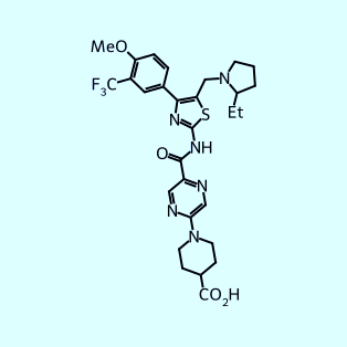 CCC1CCCN1Cc1sc(NC(=O)c2cnc(N3CCC(C(=O)O)CC3)cn2)nc1-c1ccc(OC)c(C(F)(F)F)c1